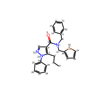 CCCc1c(C(=O)N(Cc2ccccc2)Cc2cccs2)cnn1-c1ccccc1